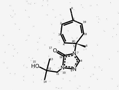 CC1=CC=C[C@@](C)(n2cnn(CC(C)(C)O)c2=O)C=C1